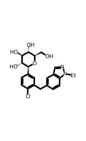 CCn1ncc2cc(Cc3cc([C@@H]4O[C@H](CO)[C@@H](O)[C@H](O)[C@H]4O)ccc3Cl)ccc21